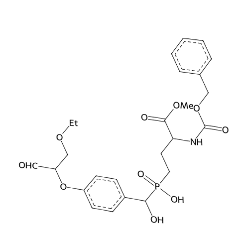 CCOCC(C=O)Oc1ccc(C(O)P(=O)(O)CCC(NC(=O)OCc2ccccc2)C(=O)OC)cc1